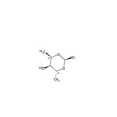 CC[C@H]1O[C@H](C)[C@@H](O)[C@@H](C)O1